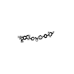 O=C(CN1CC[C@@H](c2ncc3cc4[nH]nc(Br)c4cc3n2)C1)N1CCN(c2ccc(-c3ncc(F)cn3)cc2)CC1